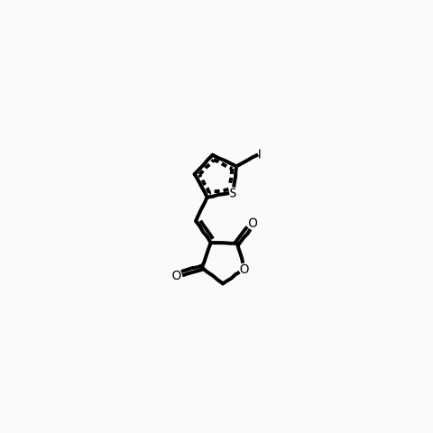 O=C1COC(=O)C1=Cc1ccc(I)s1